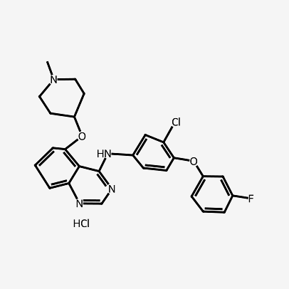 CN1CCC(Oc2cccc3ncnc(Nc4ccc(Oc5cccc(F)c5)c(Cl)c4)c23)CC1.Cl